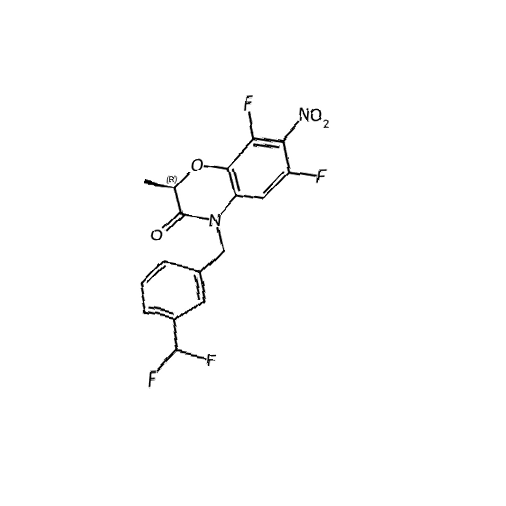 C[C@H]1Oc2c(cc(F)c([N+](=O)[O-])c2F)N(Cc2cccc(C(F)F)c2)C1=O